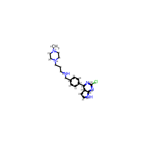 CN1CCN(CCCNCc2ccc(-c3nc(Cl)nc4[nH]ccc34)cc2)CC1